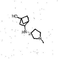 CN1CC[C@@H](NC2CC3(O)CC2C3)C1